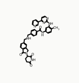 Cc1ccc(NC(=O)c2ccc(CNCc3ccc4c(c3)CN(C3CCC(=O)NC3=O)C4=O)cc2)cc1Nc1nccc(-c2cccnc2)n1